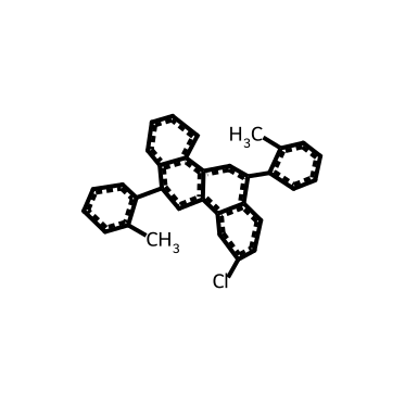 Cc1ccccc1-c1cc2c3cc(Cl)ccc3c(-c3ccccc3C)cc2c2ccccc12